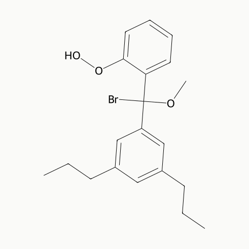 CCCc1cc(CCC)cc(C(Br)(OC)c2ccccc2OO)c1